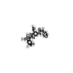 COCc1cc(N(C)C(=O)C(C)N2CCOCC2)cc2nc(-c3n[nH]c4c3C[C@@H]3C[C@]3(C)C4)[nH]c12